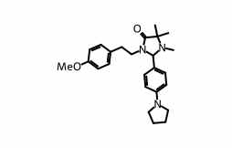 COc1ccc(CCN2C(=O)C(C)(C)N(C)C2c2ccc(N3CCCC3)cc2)cc1